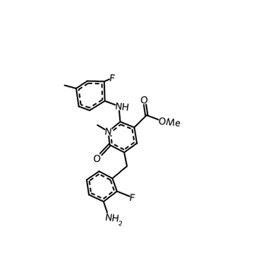 COC(=O)c1cc(Cc2cccc(N)c2F)c(=O)n(C)c1Nc1ccc(C)cc1F